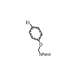 CCCCCCOc1ccc(CC)cc1